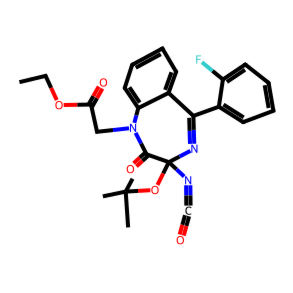 CCOC(=O)CN1C(=O)C(N=C=O)(OC(C)(C)C)N=C(c2ccccc2F)c2ccccc21